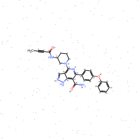 CC#CC(=O)NC1CCCN(c2nc(-c3ccc(Oc4ccccc4)cc3)c(C(N)=O)c3[nH]ncc23)C1